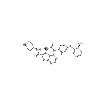 COc1ccccc1Oc1ccc(N2C(=O)Nc3c(C(=O)NC4CCNCC4)sc4nccc2c34)c(C)c1